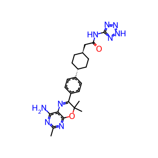 Cc1nc(N)c2c(n1)OC(C)(C)C(c1ccc([C@H]3CC[C@H](CC(=O)Nc4nn[nH]n4)CC3)cc1)=N2